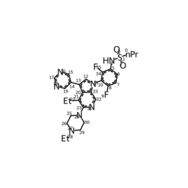 CCCS(=O)(=O)Nc1ccc(F)c(-n2cc(-c3cncnc3)c3c(CC)c(N4CCN(CC)CC4)ncc32)c1F